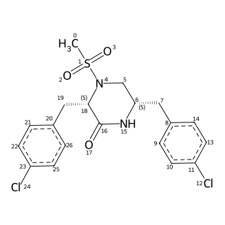 CS(=O)(=O)N1C[C@H](Cc2ccc(Cl)cc2)NC(=O)[C@@H]1Cc1ccc(Cl)cc1